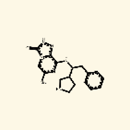 CC(C)(C)c1cn2c(=O)[nH]nc2c(NC(Cc2ccccc2)C2CCNC2)n1